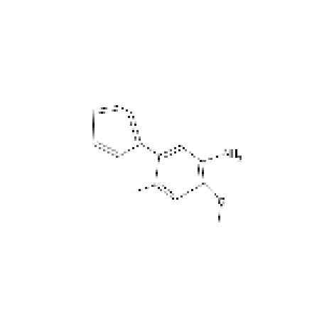 COc1cc(C)c(-c2ccccc2)cc1N